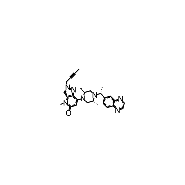 CC#CCn1cc2c(n1)c(N1C[C@@H](C)N([C@H](C)c3ccc4nccnc4c3)C[C@@H]1C)cc(=O)n2C